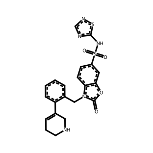 O=c1oc2cc(S(=O)(=O)Nc3ncns3)ccc2n1Cc1ccccc1C1=CCCNC1